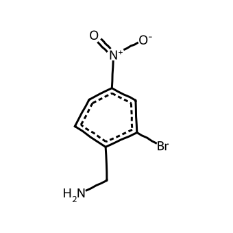 NCc1ccc([N+](=O)[O-])cc1Br